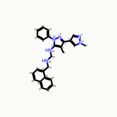 Cc1c(-c2cnn(C)c2)nn(-c2ccccc2)c1NCNCc1cccc2ccccc12